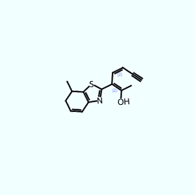 C#C/C=C\C(=C(/C)O)c1nc2c(s1)C(C)CC=C2